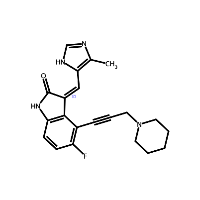 Cc1nc[nH]c1/C=C1\C(=O)Nc2ccc(F)c(C#CCN3CCCCC3)c21